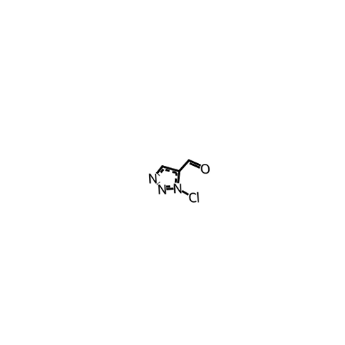 O=Cc1cnnn1Cl